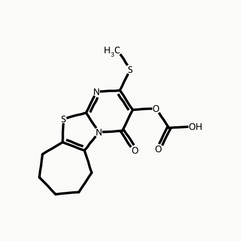 CSc1nc2sc3c(n2c(=O)c1OC(=O)O)CCCCC3